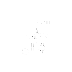 CC(C)C[C@H](NC(=O)C(Cc1ccccc1)NC(=O)c1cnccn1)B1OC(=O)CC(C(=O)NC(C)C)O1